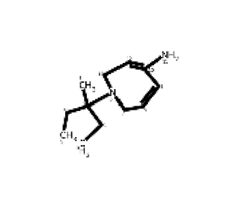 CCC(C)(CC)N1CC=CC(N)=CC1